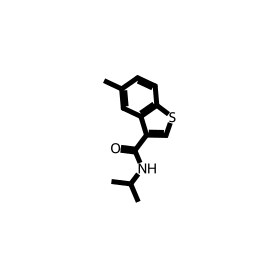 Cc1ccc2scc(C(=O)NC(C)C)c2c1